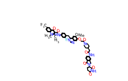 COc1cc2c(Cc3ccc(NC(=O)c4c(C)n(C)c5ccc(C(F)(F)F)cc5c4=O)cc3F)ncnc2cc1OCC(=O)N1CCC(CC(=O)Nc2ccc3c(c2)CN(C2CCC(=O)NC2=O)C3=O)CC1